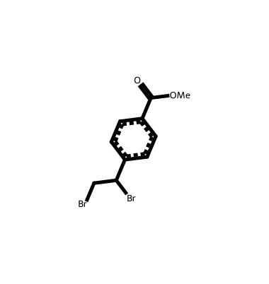 COC(=O)c1ccc(C(Br)CBr)cc1